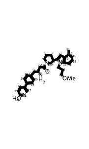 COCCCn1c(C2CCCN(C(=O)C[C@H](N)Cc3ccc(-c4ccc(O)nc4)cc3)C2)cc2c1C=CCC2C